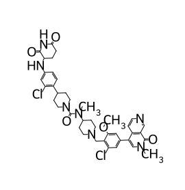 COc1cc(-c2cn(C)c(=O)c3cnccc23)cc(Cl)c1CN1CCC(N(C)C(=O)N2CCC(c3ccc(NC4CCC(=O)NC4=O)cc3Cl)CC2)CC1